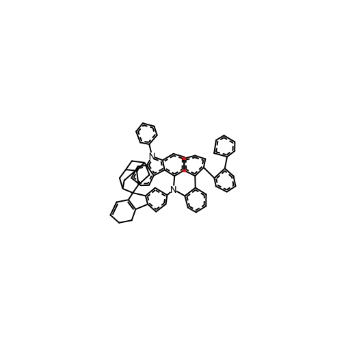 C1=CC2=C(CC1)c1ccc(N(c3ccccc3-c3ccccc3-c3ccccc3-c3ccccc3)c3cccc4c3c3ccccc3n4-c3ccccc3)cc1C21C2CC3CC(C2)CC1C3